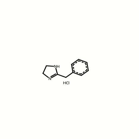 Cl.c1ccc(CC2=NCCN2)cc1